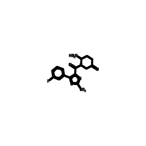 Cc1nc(C(=O)N2CC(=O)CCC2C(=O)O)c(-c2cccc(F)c2)s1